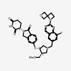 COC[C@@H]1CN(Cc2cc(F)c3nc(N4CCC45COC5)ncc3c2)C[C@H]1Oc1ccc2c(c1)CN([C@H]1CCC(=O)NC1=O)C2=O